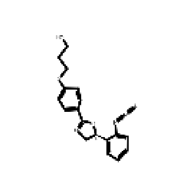 [N-]=[N+]=Nc1ccccc1[C@H]1CN=C(c2ccc(OCCCO)cc2)O1